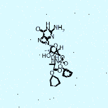 CC(NP(=O)(Oc1ccccc1)OC1[C@H]2O[C@@H](n3cnc4c(=O)[nH]c(N)nc43)[C@](C)(O)[C@@]12O)C(=O)OC1CCCCC1